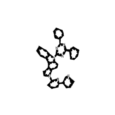 c1ccc(-c2nc(-c3ccccc3)nc(-n3c4ccccc4c4c5ccn(-c6cccc(-c7cccnc7)n6)c5ccc43)n2)cc1